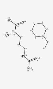 CCN1CCCCC1.N=C(N)NCCC[C@H](N)C(=O)O